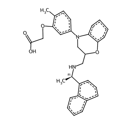 Cc1ccc(N2CC(CN[C@H](C)c3cccc4ccccc34)Oc3ccccc32)cc1OCC(=O)O